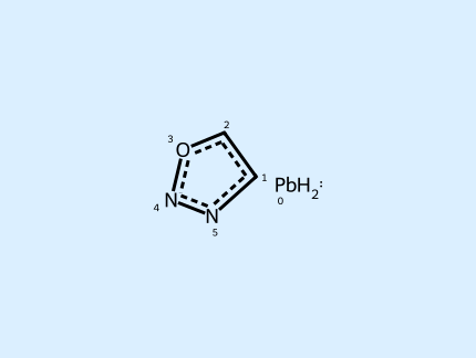 [PbH2].c1conn1